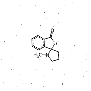 CN1CCCC12OC(=O)c1ccccc12